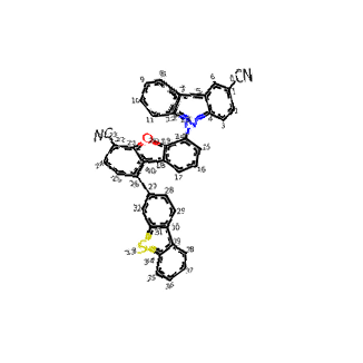 N#Cc1ccc2c(c1)c1ccccc1n2-c1cccc2c1oc1c(C#N)ccc(-c3ccc4c(c3)sc3ccccc34)c12